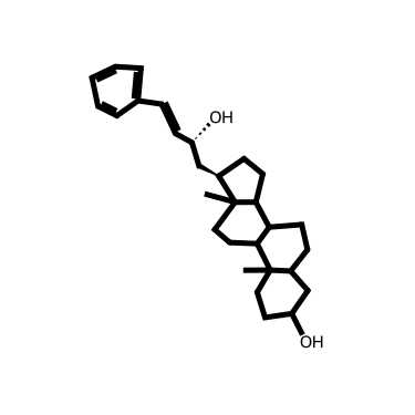 CC12CCC(O)CC1CCC1C2CCC2(C)C1CC[C@@H]2C[C@@H](O)/C=C/c1ccccc1